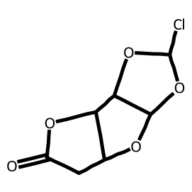 O=C1CC2OC3OC(Cl)OC3C2O1